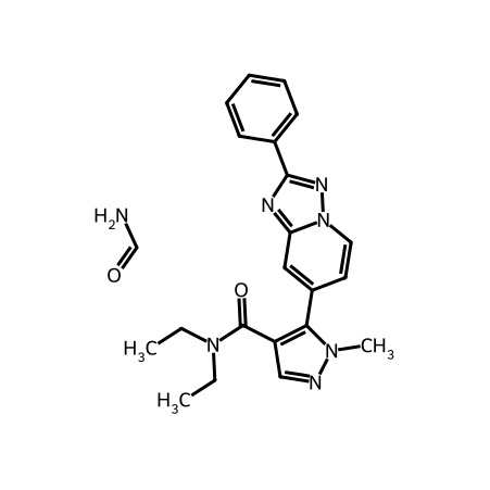 CCN(CC)C(=O)c1cnn(C)c1-c1ccn2nc(-c3ccccc3)nc2c1.NC=O